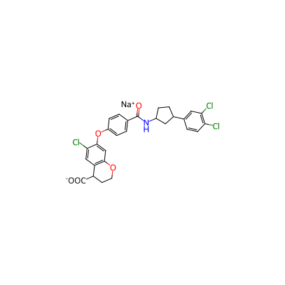 O=C(NC1CCC(c2ccc(Cl)c(Cl)c2)C1)c1ccc(Oc2cc3c(cc2Cl)C(C(=O)[O-])CCO3)cc1.[Na+]